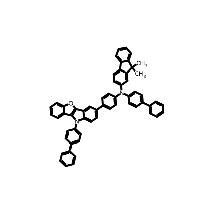 CC1(C)c2ccccc2-c2ccc(N(c3ccc(-c4ccccc4)cc3)c3ccc(-c4ccc5c(c4)c4oc6ccccc6c4n5-c4ccc(-c5ccccc5)cc4)cc3)cc21